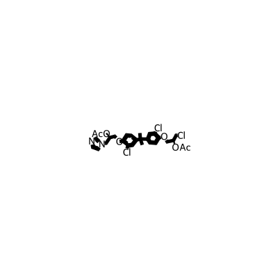 CC(=O)O[C@H](CCl)COc1ccc(C(C)(C)c2ccc(OC[C@@H](Cn3ccnc3)OC(C)=O)c(Cl)c2)cc1Cl